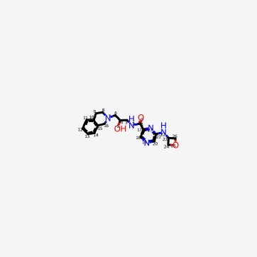 O=C(NCC(O)CN1CCc2ccccc2C1)c1cncc(NC2COC2)n1